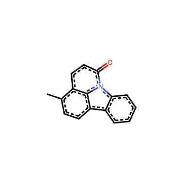 Cc1ccc2c3ccccc3n3c(=O)ccc1c23